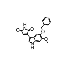 COc1cc2[nH]cc(C3=CC(=O)NC3=O)c2cc1OCc1ccccc1